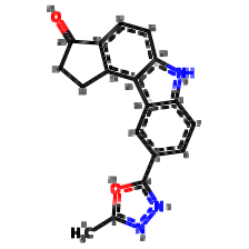 Cc1nnc(-c2ccc3[nH]c4ccc5c(c4c3c2)CCC5=O)o1